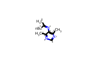 CCCC/C(C)=N\c1c(C)ncnc1C